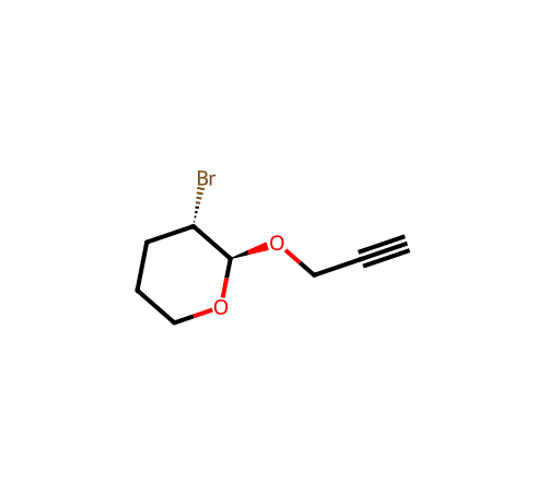 C#CCO[C@H]1OCCC[C@@H]1Br